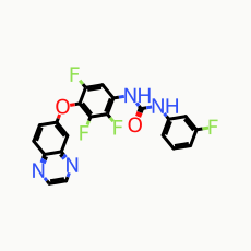 O=C(Nc1cccc(F)c1)Nc1cc(F)c(Oc2ccc3nccnc3c2)c(F)c1F